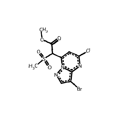 COC(=O)C(c1cc(Cl)nc2c(Br)cnn12)S(C)(=O)=O